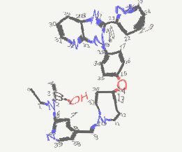 CCN(B(C)O)c1cc(CN2CCC(Oc3ccc(-n4c(-c5ccccn5)nc5cccnc54)cc3)CC2)ccn1